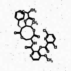 COc1ccnc(C(=O)N[C@H]2COC(=O)[C@H](Cc3ccccc3)[C@@H](OC(=O)C(C)C)[C@H](C)OC2=O)c1OC(=O)c1nc(Cl)ccc1Cl